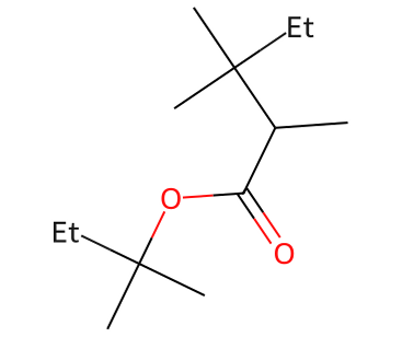 CCC(C)(C)OC(=O)C(C)C(C)(C)CC